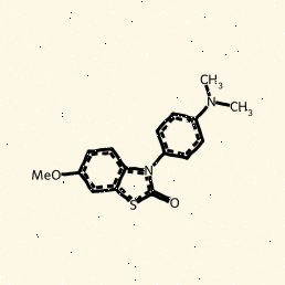 COc1ccc2c(c1)sc(=O)n2-c1ccc(N(C)C)cc1